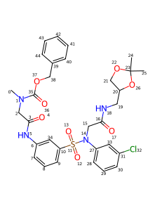 CN(CC(=O)Nc1cccc(S(=O)(=O)N(CC(=O)NCC2COC(C)(C)O2)c2cccc(Cl)c2)c1)C(=O)OCc1ccccc1